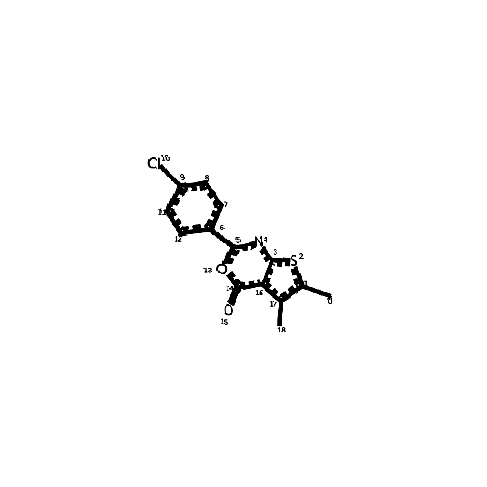 Cc1sc2nc(-c3ccc(Cl)cc3)oc(=O)c2c1C